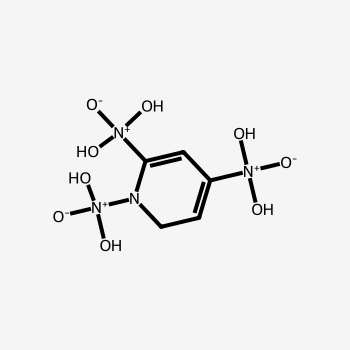 [O-][N+](O)(O)C1=CCN([N+]([O-])(O)O)C([N+]([O-])(O)O)=C1